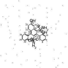 NS(=O)(=O)c1c(-c2ccccc2O)c(S(N)(=O)=O)c2cc(O)ccc2c1-c1ccccc1O